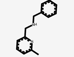 Cc1cccc(CNCc2ccccc2)n1